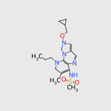 CCCN1CC(C)=C(NS(C)(=O)=O)C2=C1N1CN(OCC3CC3)C=C1C=N2